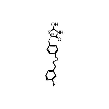 O=C1NC(O)S[C@H]1Cc1ccc(OCCc2cccc(F)c2)cc1